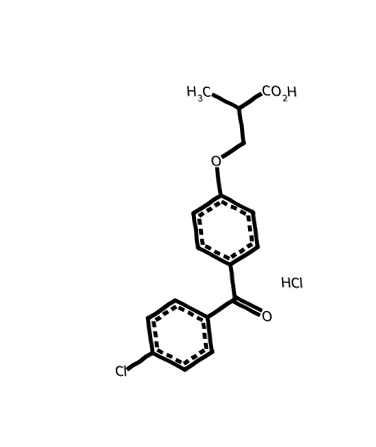 CC(COc1ccc(C(=O)c2ccc(Cl)cc2)cc1)C(=O)O.Cl